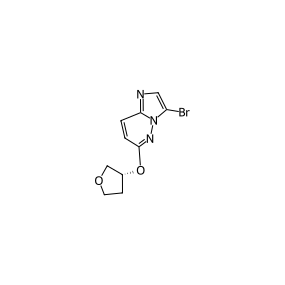 Brc1cnc2ccc(O[C@@H]3CCOC3)nn12